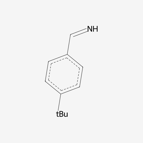 CC(C)(C)c1ccc(C=N)cc1